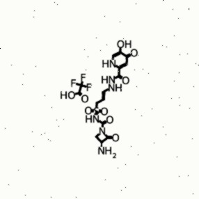 N[C@H]1CN(C(=O)NS(=O)(=O)CC=CNNC(=O)c2cc(=O)c(O)c[nH]2)C1=O.O=C(O)C(F)(F)F